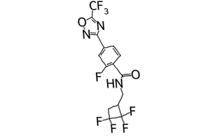 O=C(NCC1CC(F)(F)C1(F)F)c1ccc(-c2noc(C(F)(F)F)n2)cc1F